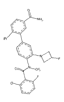 CC(C)c1ccc(C(N)=O)cc1-c1ccc(N(C)C(=O)c2c(F)cccc2Cl)c(N2CC(F)C2)c1